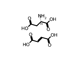 N[C@@H](CC(=O)O)C(=O)O.O=C(O)C=CC(=O)O